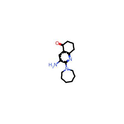 Nc1cc2c(nc1N1CCCCCC1)CCCC2=O